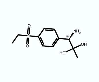 CCS(=O)(=O)c1ccc([C@@H](N)C(C)(O)O)cc1